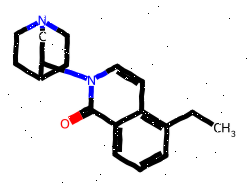 CCc1cccc2c(=O)n(C3CN4CCC3CC4)ccc12